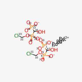 O=P([O-])([O-])C(O)P(=O)([O-])OCCl.O=P([O-])([O-])C(O)P(=O)([O-])OCCl.[Pd+2].[Pd+2].[Pd+2]